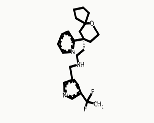 CC(F)(F)c1cncc(CNCC[C@@]2(c3ccccn3)CCOC3(CCCC3)C2)c1